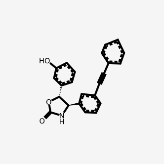 O=C1N[C@H](c2cccc(C#Cc3ccccc3)c2)[C@@H](c2cccc(O)c2)O1